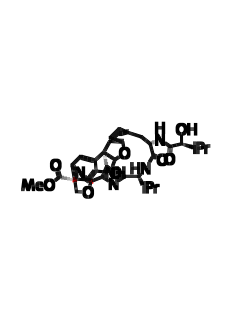 COC(=O)[C@H]1COC(c2nc3oc2[C@@]24c5ccccc5NC2Oc2ccc(cc24)C[C@H](NC(=O)[C@@H](O)C(C)C)C(=O)N[C@H]3C(C)C)=N1